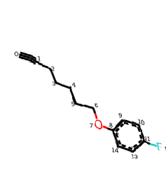 C#CCCCCCOc1ccc(F)cc1